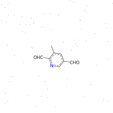 Cc1cc(C=O)cnc1C=O